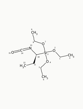 CCO[Si](OCC)(OCC)[C@@H](CC)N=C=O